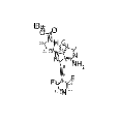 Cc1cnc(N)c2c(C#Cc3c(F)cncc3F)nn(C3CCN(C(=O)OC(C)(C)C)C3)c12